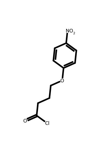 O=C(Cl)CCCOc1ccc([N+](=O)[O-])cc1